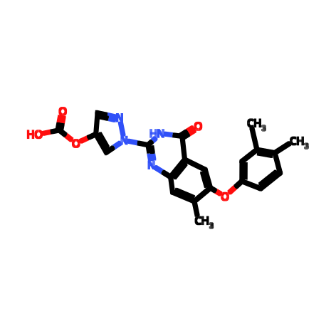 Cc1ccc(Oc2cc3c(=O)[nH]c(-n4cc(OC(=O)O)cn4)nc3cc2C)cc1C